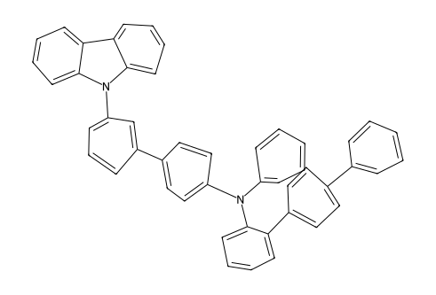 c1ccc(-c2ccc(-c3ccccc3N(c3ccccc3)c3ccc(-c4cccc(-n5c6ccccc6c6ccccc65)c4)cc3)cc2)cc1